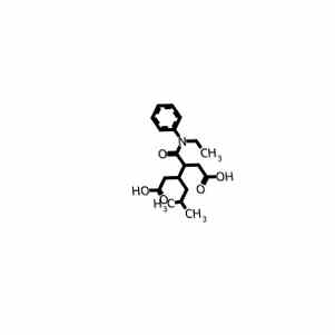 CCN(C(=O)C(CC(=O)O)C(CC(=O)O)CC(C)C)c1ccccc1